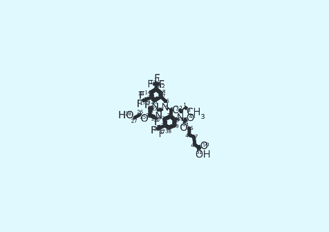 CC[C@@H]1C[C@H](N(Cc2cc(C(F)(F)F)cc(C(F)(F)F)c2)c2ncc(OCCO)cn2)c2cc(C(F)(F)F)ccc2N1C(=O)OCCCCC(=O)O